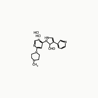 CN1CCN(c2cc(N3NC=C(c4cccnc4)C3C=O)ncn2)CC1.Cl.Cl